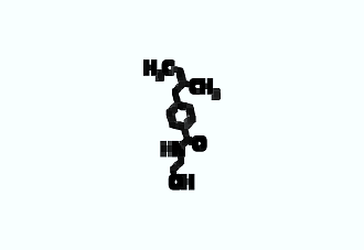 C/C=C(/C)Cc1ccc(C(=O)NCCO)cc1